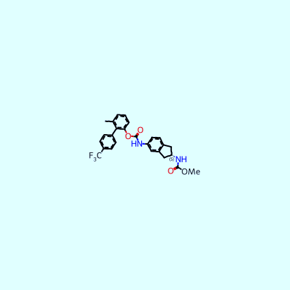 COC(=O)N[C@H]1Cc2ccc(NC(=O)Oc3cccc(C)c3-c3ccc(C(F)(F)F)cc3)cc2C1